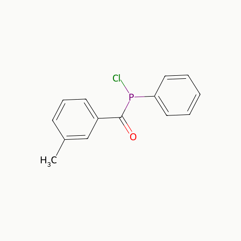 Cc1cccc(C(=O)P(Cl)c2ccccc2)c1